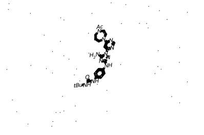 CC(=O)N1CCCN(c2cc(-n3nc(Nc4ccc(NC(=O)NC(C)(C)C)cc4)nc3N)ncn2)CC1